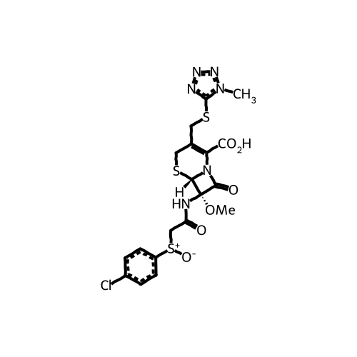 CO[C@@]1(NC(=O)C[S+]([O-])c2ccc(Cl)cc2)C(=O)N2C(C(=O)O)=C(CSc3nnnn3C)CS[C@H]21